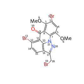 COc1c(Br)cc(OC)c2c1c(=O)c1c(Br)ccc3c(CBr)nn2c31